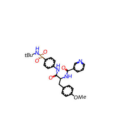 COc1ccc(CC(NC(=O)c2cccnc2)C(=O)Nc2ccc(S(=O)(=O)NC(C)(C)C)cc2)cc1